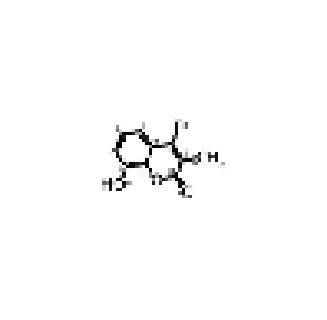 Cc1c(F)c2cccc(O)c2oc1=O